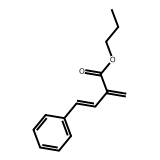 C=C(C=Cc1ccccc1)C(=O)OCCC